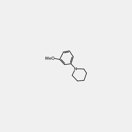 COc1cccc(N2CCCCC2)c1